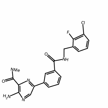 CNC(=O)c1nc(-c2cccc(C(=O)NCc3cccc(Cl)c3F)c2)cnc1N